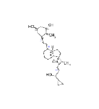 C=C1/C(=C\C=C2/CCC[C@]3(C)[C@@H](C(C)/C=C/C(O)C4CC4)CC[C@@H]23)C[C@@H](O)C[C@@H]1O